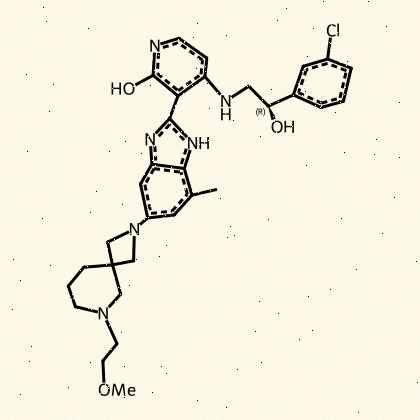 COCCN1CCCC2(C1)CN(c1cc(C)c3[nH]c(-c4c(NC[C@H](O)c5cccc(Cl)c5)ccnc4O)nc3c1)C2